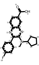 CN(c1nc2cc(C(=O)O)ccc2nc1-c1ccc(F)cc1)C1CCCC1